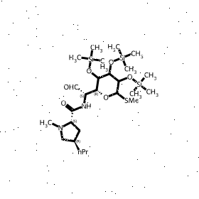 CCC[C@@H]1C[C@@H](C(=O)N[C@H](C=O)[C@H]2OC(SC)C(O[Si](C)(C)C)C(O[Si](C)(C)C)C2O[Si](C)(C)C)N(C)C1